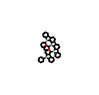 c1ccc(-n2c3ccccc3c3c(-n4c5ccccc5c5ccc6c7ccc8c9ccccc9n(-c9ccccc9)c8c7n(-c7ccccc7)c6c54)cccc32)cc1